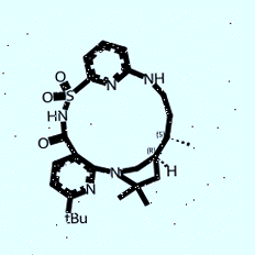 C[C@H]1CCNc2cccc(n2)S(=O)(=O)NC(=O)c2ccc(C(C)(C)C)nc2N2C[C@@H]1CC2(C)C